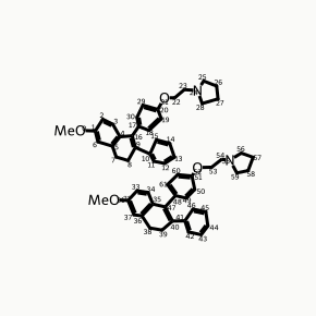 COc1ccc2c(c1)CCC(c1ccccc1)=C2c1ccc(OCCN2CCCC2)cc1.COc1ccc2c(c1)CCC(c1ccccc1)=C2c1ccc(OCCN2CCCC2)cc1